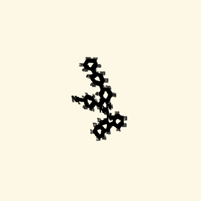 N#Cc1ccc(-c2nc(N3c4cc5ccccc5cc4C4C=CC=CC43)nc3ccc(-c4ccc(-c5ccccc5)cc4)cc23)cc1